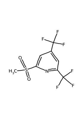 CS(=O)(=O)c1cc(C(F)(F)F)cc(C(F)(F)F)n1